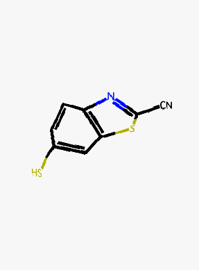 N#Cc1nc2ccc(S)cc2s1